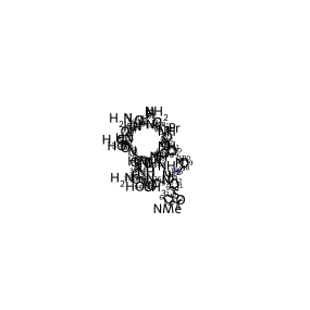 CNC(=O)c1ccccc1Sc1ccc2c(/C=C/c3ccccn3)nn(CCC(=O)N[C@H](C(=O)N[C@@H](CCN)C(=O)N[C@H]3CCNC(=O)[C@H]([C@@H](C)O)NC(=O)[C@H](CCN)NC(=O)[C@H](CCN)NC(=O)[C@H](CC(C)C)NC(=O)[C@@H](Cc4ccccc4)NC(=O)[C@H](CCN)NC3=O)[C@@H](C)O)c2c1